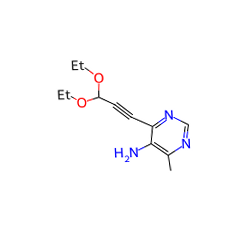 CCOC(C#Cc1ncnc(C)c1N)OCC